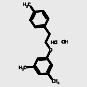 Cc1ccc(CCOc2cc(C)cc(C)c2)cc1.Cl.Cl